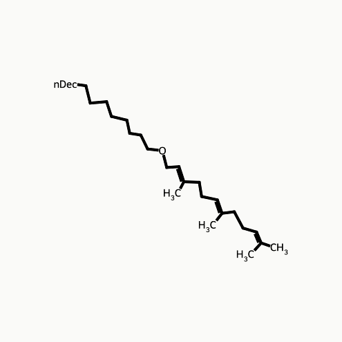 CCCCCCCCCCCCCCCCCCOC/C=C(\C)CC/C=C(\C)CCC=C(C)C